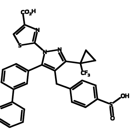 O=C(O)c1csc(-n2nc(C3(C(F)(F)F)CC3)c(Cc3ccc(S(=O)O)cc3)c2-c2cccc(-c3ccccc3)c2)n1